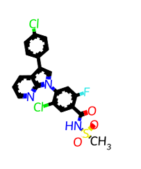 CS(=O)(=O)NC(=O)c1cc(Cl)c(-n2cc(-c3ccc(Cl)cc3)c3cccnc32)cc1F